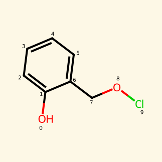 Oc1ccccc1COCl